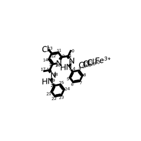 CC(=NNc1ccccc1)c1cc(Cl)cc(C(C)=NNc2ccccc2)n1.[Cl-].[Cl-].[Cl-].[Fe+3]